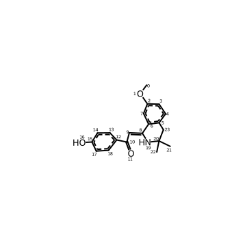 COc1ccc2c(c1)C(=CC(=O)c1ccc(O)cc1)NC(C)(C)C2